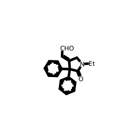 CCN1C/C(=C\C=O)C(c2ccccc2)(c2ccccc2)C1=O